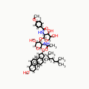 COc1ccc(C(=O)NC2C(OC3C(O)COC(O[C@H]4CC5[C@@H]6CC=C7C[C@@H](O)CC[C@]7(C)[C@H]6CC[C@]5(C)[C@H]4[C@H](C)CCCC(C)C)C3NC(C)=O)OCC(O)C2O)cc1